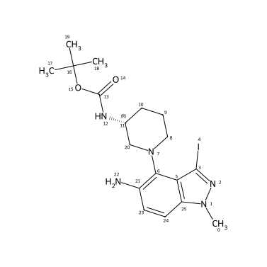 Cn1nc(I)c2c(N3CCC[C@@H](NC(=O)OC(C)(C)C)C3)c(N)ccc21